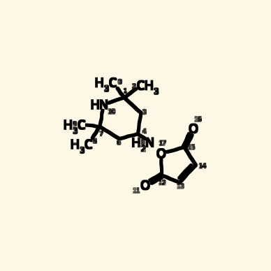 CC1(C)CC(N)CC(C)(C)N1.O=C1C=CC(=O)O1